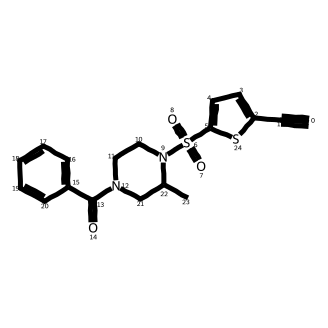 C#Cc1ccc(S(=O)(=O)N2CCN(C(=O)c3ccccc3)CC2C)s1